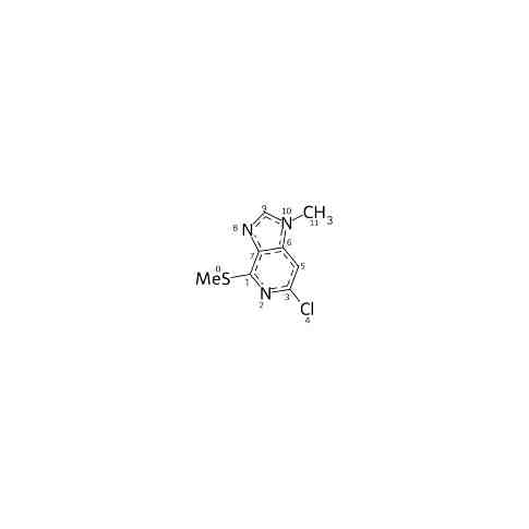 CSc1nc(Cl)cc2c1ncn2C